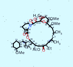 CC[C@@H]1/C=C(\C)C[C@H](C)C[C@H](OC)[C@H]2O[C@@](O)(C(=O)C(=O)N3CCCC[C@H]3C(=O)O[C@H](/C(C)=C/[C@@H]3CCC[C@H](OC)C3)[C@H](C)[C@@H](OC(C)=O)CC1=O)[C@H](C)C[C@@H]2OC